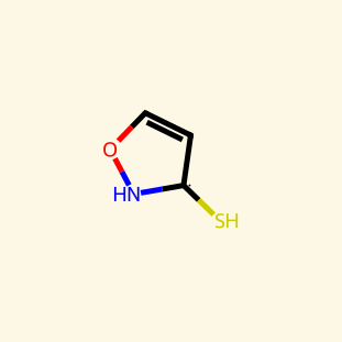 S[C]1C=CON1